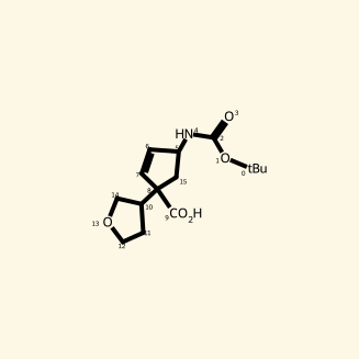 CC(C)(C)OC(=O)NC1C=CC(C(=O)O)(C2CCOC2)C1